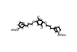 CCCCCC[N+]12CCN(CC1)C(CCCOc1cc(I)c(OCCCC3C[N+]4(CCCCCC)CCN3CC4)cc1I)C2